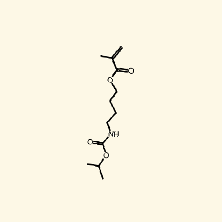 C=C(C)C(=O)OCCCCNC(=O)OC(C)C